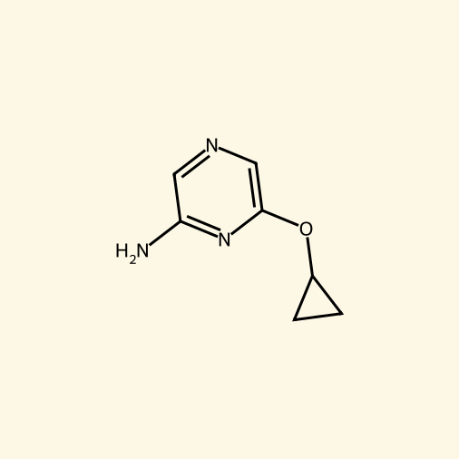 Nc1cncc(OC2CC2)n1